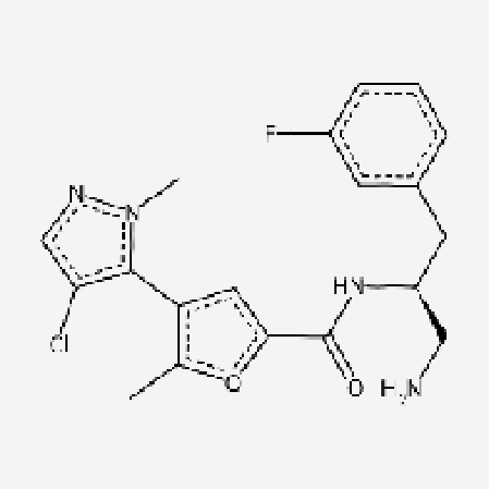 Cc1oc(C(=O)N[C@H](CN)Cc2cccc(F)c2)cc1-c1c(Cl)cnn1C